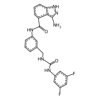 Nc1n[nH]c2cccc(C(=O)Nc3cccc(CNC(=O)Nc4cc(F)cc(F)c4)c3)c12